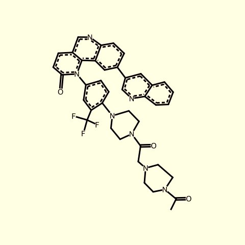 CC(=O)N1CCN(CC(=O)N2CCN(c3ccc(-n4c(=O)ccc5cnc6ccc(-c7cnc8ccccc8c7)cc6c54)cc3C(F)(F)F)CC2)CC1